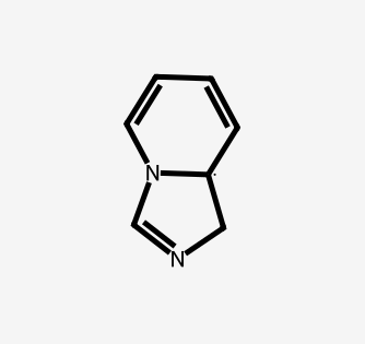 C1=C[C]2CN=CN2C=C1